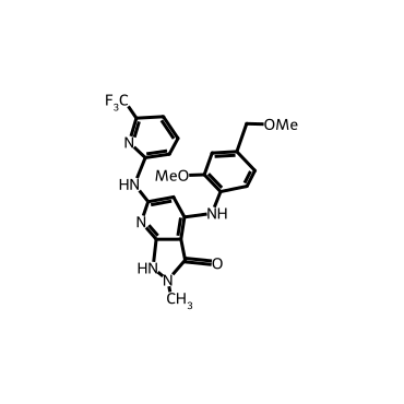 COCc1ccc(Nc2cc(Nc3cccc(C(F)(F)F)n3)nc3[nH]n(C)c(=O)c23)c(OC)c1